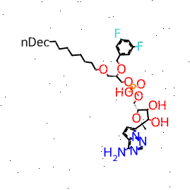 CCCCCCCCCCCCCCCCCCOC[C@H](COP(=O)(O)OC[C@H]1O[C@@](C)(c2ccc3c(N)ncnn23)[C@H](O)[C@@H]1O)OCc1cc(F)cc(F)c1